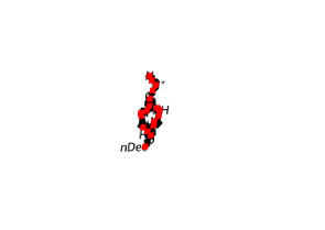 CCCCCCCCCCCCOc1ccc(-c2c3nc(cc4ccc([nH]4)c(-c4ccc(OCCC[N+](C)(C)CCCN(C)C)cc4)c4nc(cc5ccc2[nH]5)C=C4)C=C3)cc1